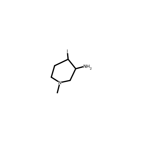 CN1CCC(I)C(N)C1